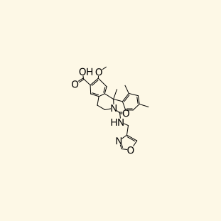 COc1cc2c(cc1C(=O)O)CCN(C(=O)NCc1cocn1)C2(C)c1ccc(C)cc1C